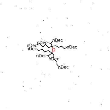 CCCCCCCCCCCCCCC(CCCCCCCCCCCCCC)(OC(CCCCCCCCCCCCCC)(CCCCCCCCCCCCCC)C(CCCCCCCCCC)CCCCCCCCCC)C(CCCCCCCCCC)CCCCCCCCCC